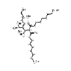 CCCCCCCCCCCCCCCCCC(=O)N(C(=O)CCCCCCCCCCCCCCCCC)C(O)C(OC[C@@H](O)CO)P(=O)(O)O